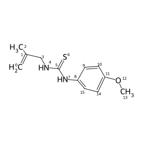 C=C(C)CNC(=S)Nc1ccc(OC)cc1